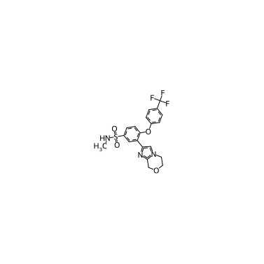 CNS(=O)(=O)c1ccc(Oc2ccc(C(F)(F)F)cc2)c(-c2cn3c(n2)COCC3)c1